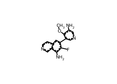 COc1c(N)cncc1-c1cc2ccncc2c(N)c1F